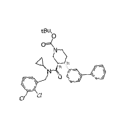 CC(C)(C)OC(=O)N1CC[C@H](c2cccc(-c3ccccc3)c2)[C@@H](C(=O)N(Cc2cccc(Cl)c2Cl)C2CC2)C1